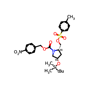 Cc1ccc(S(=O)(=O)OC[C@@H]2C[C@H](O[Si](C)(C)C(C)(C)C)CN2C(=O)OCc2ccc([N+](=O)[O-])cc2)cc1